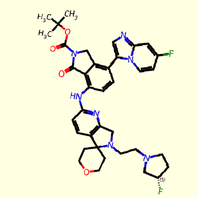 CC(C)(C)OC(=O)N1Cc2c(-c3cnc4cc(F)ccn34)ccc(Nc3ccc4c(n3)CN(CCN3CC[C@H](F)C3)C43CCOCC3)c2C1=O